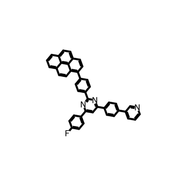 Fc1ccc(-c2cc(-c3ccc(-c4cccnc4)cc3)nc(-c3ccc(-c4ccc5ccc6cccc7ccc4c5c67)cc3)n2)cc1